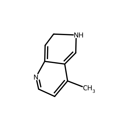 Cc1ccnc2c1=CNCC=2